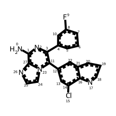 Nc1nc(-c2cccc(F)c2)c(-c2cc(Cl)c3ncccc3c2)n2ccnc12